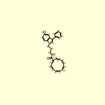 CCc1ccc2c(c1)c(-c1ccccc1)cn2CCCNC(=O)C1=C/C=C\C=C/C=C\C=C/C=C\1